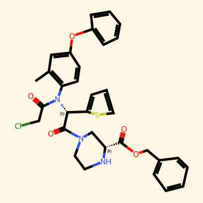 Cc1cc(Oc2ccccc2)ccc1N(C(=O)CCl)[C@@H](C(=O)N1CCN[C@@H](C(=O)OCc2ccccc2)C1)c1cccs1